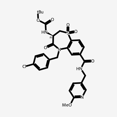 COc1ccc(CNC(=O)c2ccc3c(c2)N(Cc2ccc(Cl)cc2)C(=O)[C@@H](NC(=O)OC(C)(C)C)CS3(=O)=O)cn1